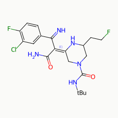 CC(C)(C)NC(=O)N1C/C(=C(/C(=N)c2ccc(F)c(Cl)c2)C(N)=O)NC(CCF)C1